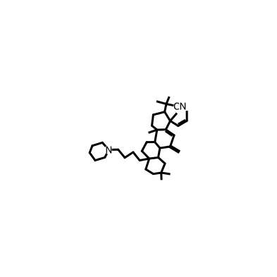 C=C1C=C2C(C)(/C=C\C)C(C(C)(C)C#N)CCC2(C)C2CCC3(CCCCN4CCCCC4)CCC(C)(C)CC3C12